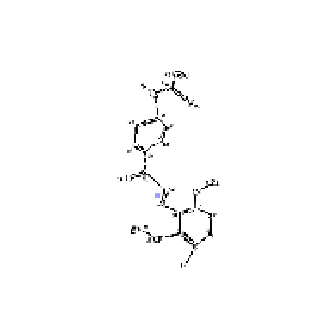 CCOc1ccc(C)c(OCC)c1/C=C/C(=O)c1ccc(OC(=O)C(C)(C)C)cc1